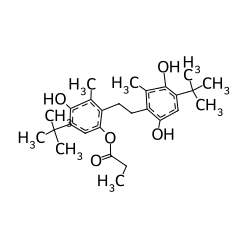 CCC(=O)Oc1cc(C(C)(C)C)c(O)c(C)c1CCc1c(O)cc(C(C)(C)C)c(O)c1C